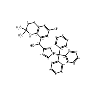 CC1(C)OCc2cc(Cl)cc(C(O)c3cn(C(c4ccccc4)(c4ccccc4)c4ccccc4)cn3)c2O1